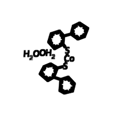 O.O.c1ccc(-c2ccccc2[S][Co][S]c2ccccc2-c2ccccc2)cc1